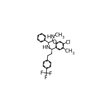 CNC(=O)C(N[C@H](CCc1ccc(C(F)(F)F)cc1)c1ccc(Cl)c(C)c1)c1ccccc1